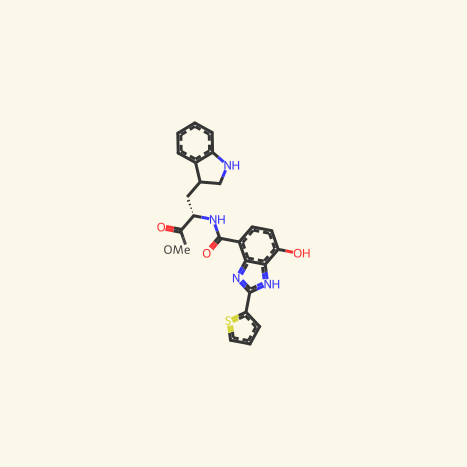 COC(=O)[C@H](CC1CNc2ccccc21)NC(=O)c1ccc(O)c2[nH]c(-c3cccs3)nc12